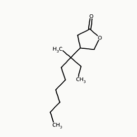 CCCCCCC(C)(CC)C1COC(=O)C1